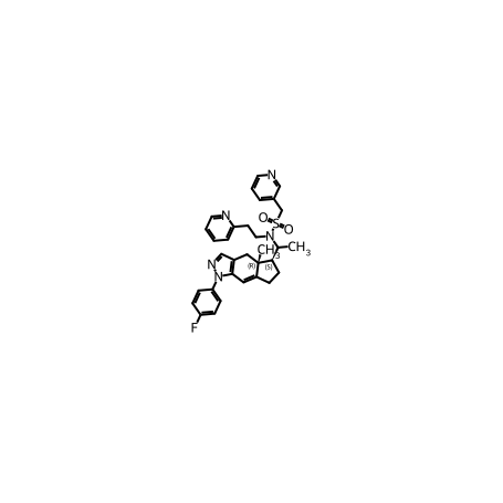 CC([C@H]1CCC2=Cc3c(cnn3-c3ccc(F)cc3)C[C@@]21C)N(CCc1ccccn1)S(=O)(=O)Cc1cccnc1